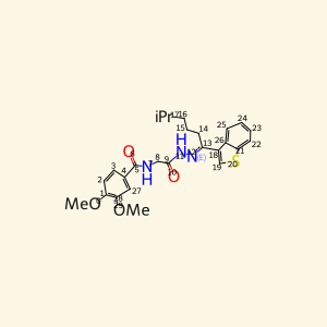 COc1ccc(C(=O)NCC(=O)N/N=C(\CCCC(C)C)c2csc3ccccc23)cc1OC